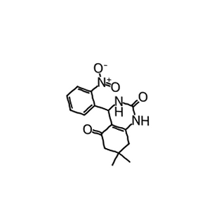 CC1(C)CC(=O)C2=C(C1)NC(=O)NC2c1ccccc1[N+](=O)[O-]